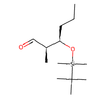 CCC[C@@H](O[Si](C)(C)C(C)(C)C)[C@@H](C)C=O